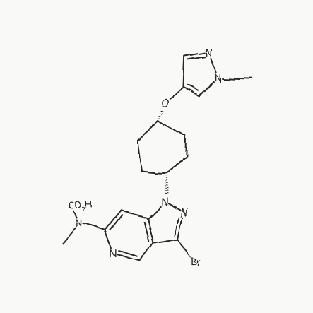 CN(C(=O)O)c1cc2c(cn1)c(Br)nn2[C@H]1CC[C@@H](Oc2cnn(C)c2)CC1